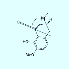 COc1ccc2c(c1O)[C@]13CCN(C)[C@H](C2)[C@@H]1C=CC(=O)C3